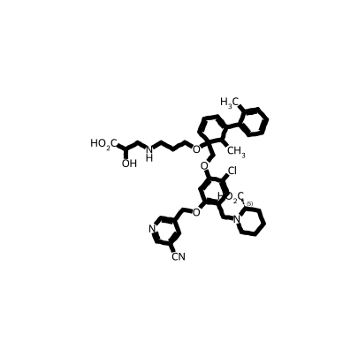 Cc1ccccc1C1=CC=CC(COc2cc(OCc3cncc(C#N)c3)c(CN3CCCC[C@H]3C(=O)O)cc2Cl)(OCCCNCC(O)C(=O)O)C1C